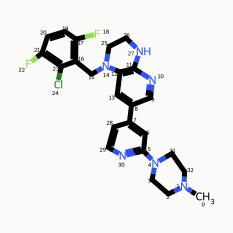 CN1CCN(c2cc(-c3cnc4c(c3)N(Cc3c(F)ccc(F)c3Cl)CCN4)ccn2)CC1